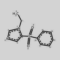 CCn1cncc1S(=O)(=O)c1ccccc1